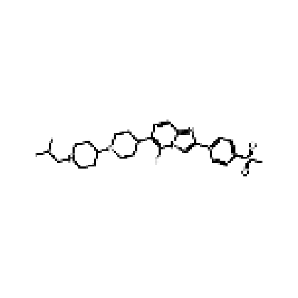 CC(C)CN1CCC(N2CCC(c3ccc4nc(-c5ccc(S(C)(=O)=O)cc5)cn4c3F)CC2)CC1